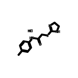 Cc1ccc(NC(=O)CSC2=NCCN2)cc1.Cl